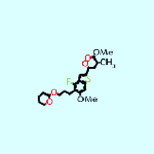 COC(=O)[C@@H](C)CC(=O)c1cc2c(F)c(CCCOC3CCCCO3)c(OC)cc2s1